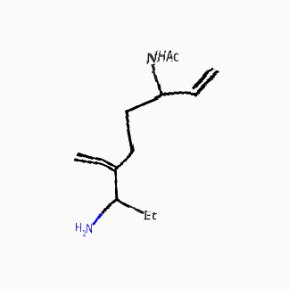 C=CC(CCC(=C)C(N)CC)NC(C)=O